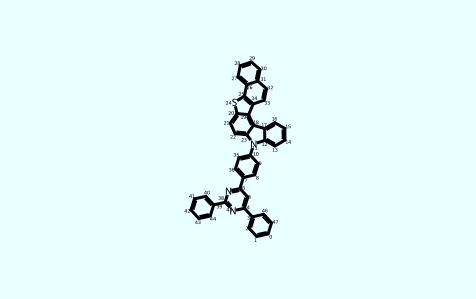 c1ccc(-c2cc(-c3ccc(-n4c5ccccc5c5c6c(ccc54)sc4c5ccccc5ccc46)cc3)nc(-c3ccccc3)n2)cc1